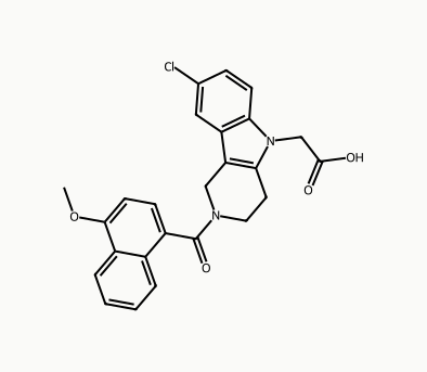 COc1ccc(C(=O)N2CCc3c(c4cc(Cl)ccc4n3CC(=O)O)C2)c2ccccc12